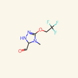 CN1C(OCC(F)(F)F)=NNC1C=O